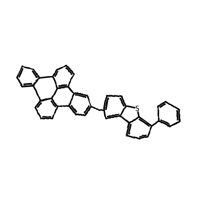 c1ccc(-c2cccc3c2sc2ccc(-c4ccc5c(c4)c4cccc6c7ccccc7c7cccc5c7c64)cc23)cc1